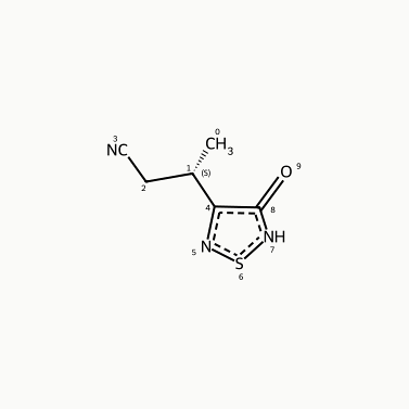 C[C@@H](CC#N)c1ns[nH]c1=O